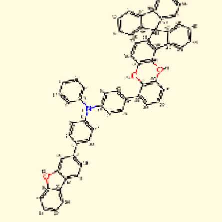 c1ccc(N(c2ccc(-c3ccc4c(c3)oc3ccccc34)cc2)c2ccc(-c3cccc4c3Oc3ccc5c(c3O4)-c3ccccc3C53c4ccccc4-c4ccccc43)cc2)cc1